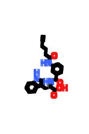 C#CCCCC(=O)Nc1cccc(C(=O)N[C@@H](Cc2c[nH]c3ccccc23)C(=O)O)c1